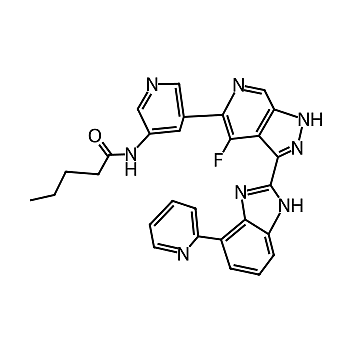 CCCCC(=O)Nc1cncc(-c2ncc3[nH]nc(-c4nc5c(-c6ccccn6)cccc5[nH]4)c3c2F)c1